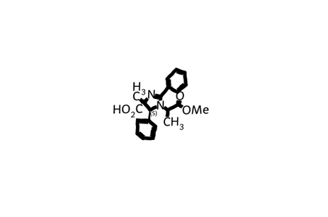 COC(=O)C(C)N1C(c2ccccc2)=N[C@](C)(C(=O)O)[C@@H]1c1ccccc1